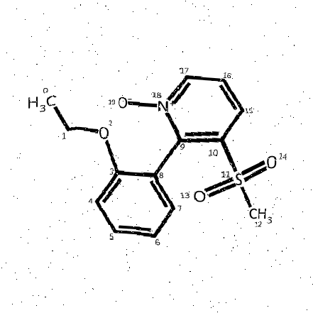 CCOc1ccccc1-c1c(S(C)(=O)=O)ccc[n+]1[O-]